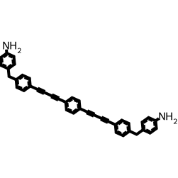 Nc1ccc(Cc2ccc(C#CC#Cc3ccc(C#CC#Cc4ccc(Cc5ccc(N)cc5)cc4)cc3)cc2)cc1